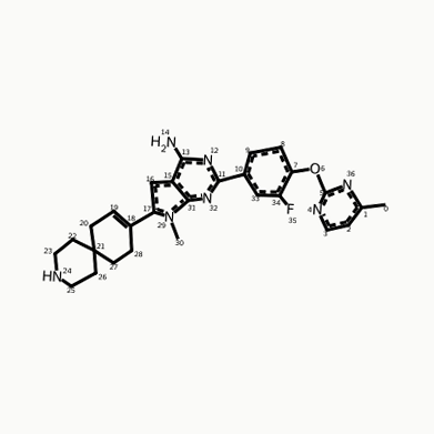 Cc1ccnc(Oc2ccc(-c3nc(N)c4cc(C5=CCC6(CCNCC6)CC5)n(C)c4n3)cc2F)n1